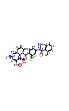 Cc1cccc(C)c1C(=O)Nc1ccc(C(=O)C2CC=CC3=CNC=C4COCCN4C32)c(Cl)c1